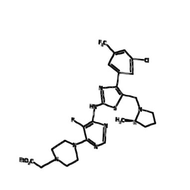 CCOC(=O)CN1CCN(c2ncnc(Nc3nc(-c4cc(Cl)cc(C(F)(F)F)c4)c(CN4CCC[C@H]4C)s3)c2F)CC1